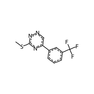 CSc1nncc(-c2cccc(C(F)(F)F)c2)n1